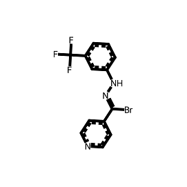 FC(F)(F)c1cccc(N/N=C(\Br)c2ccncc2)c1